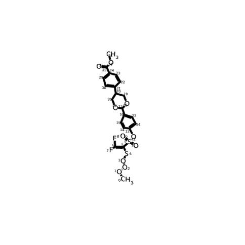 COOOSC(=C(F)F)S(=O)(=O)Oc1ccc(C2OCC(c3ccc(C(=O)OC)cc3)CO2)cc1